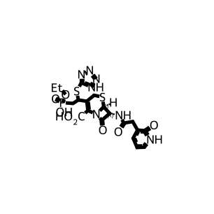 CCOP(=O)(O)CC(Sc1nnn[nH]1)C1=C(C(=O)O)N2C(=O)[C@@H](NC(=O)Cc3ccc[nH]c3=O)[C@@H]2SC1